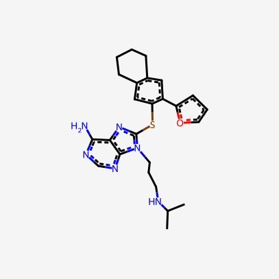 CC(C)NCCCn1c(Sc2cc3c(cc2-c2ccco2)CCCC3)nc2c(N)ncnc21